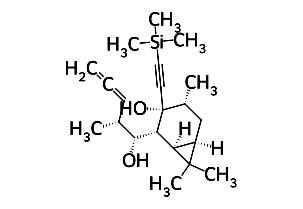 C=C=C[C@@H](C)[C@@H](O)[C@H]1[C@H]2[C@@H](C[C@@H](C)[C@]1(O)C#C[Si](C)(C)C)C2(C)C